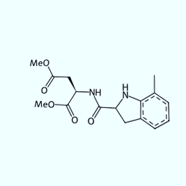 COC(=O)C[C@@H](NC(=O)C1Cc2cccc(C)c2N1)C(=O)OC